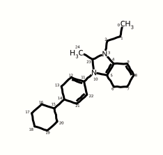 CCCN1C2=C(CCC=C2)N(C2=CCC(C3CCCCC3)C=C2)C1C